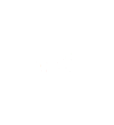 O=[PH](O)OCOS(=O)(=O)c1ccsc1C(F)(F)F